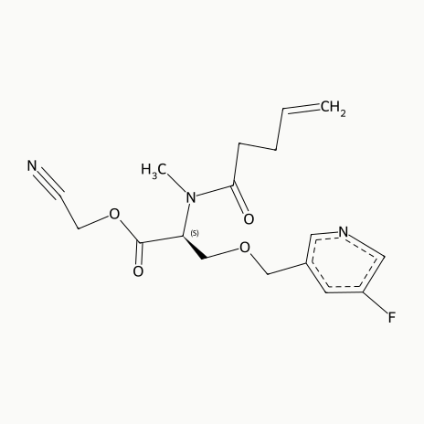 C=CCCC(=O)N(C)[C@@H](COCc1cncc(F)c1)C(=O)OCC#N